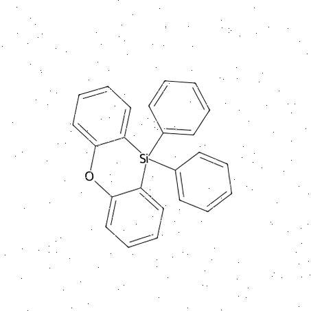 c1ccc([Si]2(c3ccccc3)c3ccccc3Oc3ccccc32)cc1